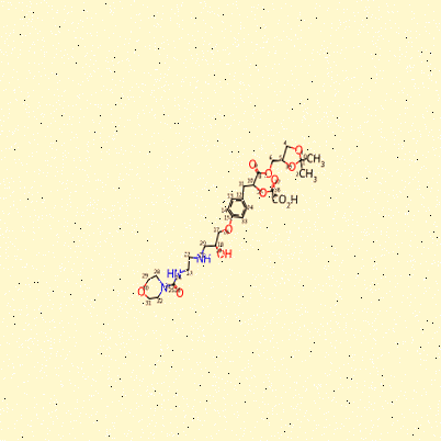 CC1(C)OC[C@H](COC(=O)C(Cc2ccc(OC[C@@H](O)CNCCNC(=O)N3CCOCC3)cc2)OC(=O)C(=O)O)O1